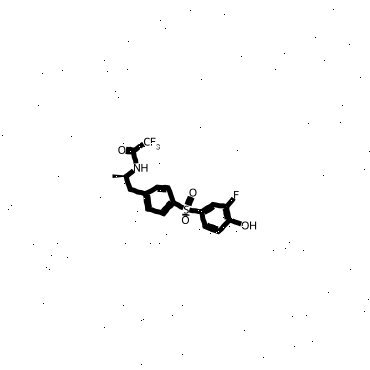 C[C@H](Cc1ccc(S(=O)(=O)c2ccc(O)c(F)c2)cc1)NC(=O)C(F)(F)F